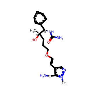 CCn1ncc(C=COCCC[C@](C)(O)[C@@H](NC(N)=O)c2ccccc2)c1CN